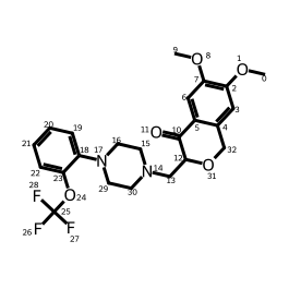 COc1cc2c(cc1OC)C(=O)C(CN1CCN(c3ccccc3OC(F)(F)F)CC1)OC2